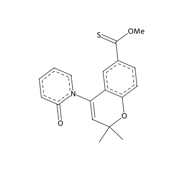 COC(=S)c1ccc2c(c1)C(n1ccccc1=O)=CC(C)(C)O2